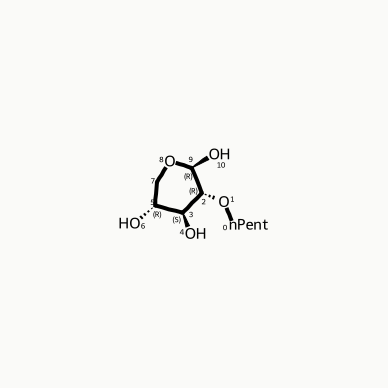 CCCCCO[C@@H]1[C@@H](O)[C@H](O)CO[C@H]1O